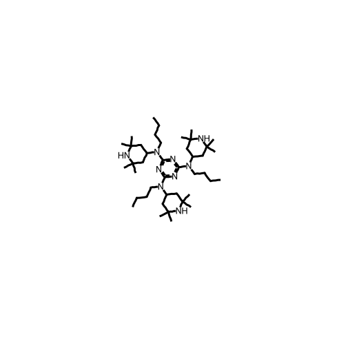 CCCCN(c1nc(N(CCCC)C2CC(C)(C)NC(C)(C)C2)nc(N(CCCC)C2CC(C)(C)NC(C)(C)C2)n1)C1CC(C)(C)NC(C)(C)C1